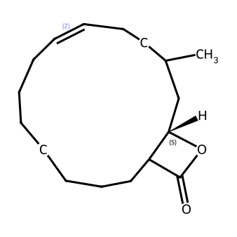 CC1CC/C=C\CCCCCCCC2C(=O)O[C@H]2C1